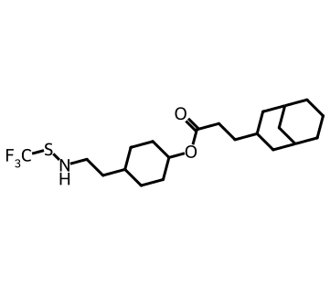 O=C(CCC1CC2CCCC(C2)C1)OC1CCC(CCNSC(F)(F)F)CC1